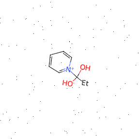 CCC(O)(O)[n+]1ccccc1